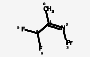 C/C(=N/C(C)C)C(F)F